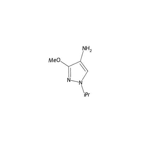 COc1nn(C(C)C)cc1N